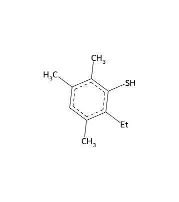 CCc1c(C)cc(C)c(C)c1S